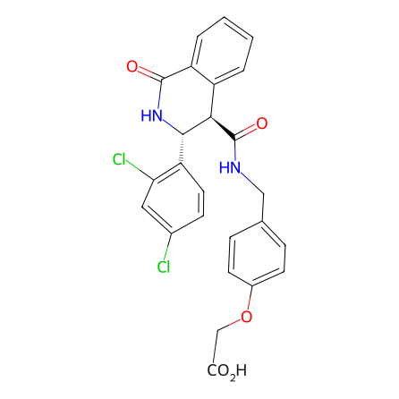 O=C(O)COc1ccc(CNC(=O)[C@@H]2c3ccccc3C(=O)N[C@H]2c2ccc(Cl)cc2Cl)cc1